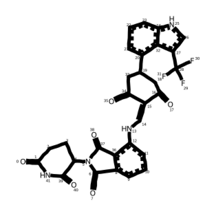 O=C1CCC(N2C(=O)c3cccc(NC=C4C(=O)CC(c5cccc6[nH]cc(C(F)(F)F)c56)CC4=O)c3C2=O)C(=O)N1